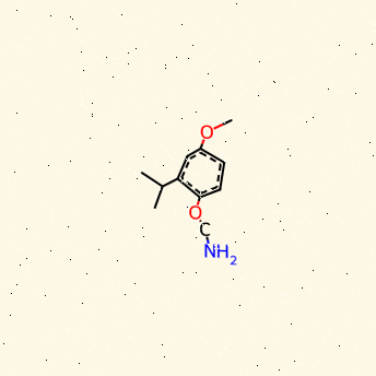 COc1ccc(OCN)c(C(C)C)c1